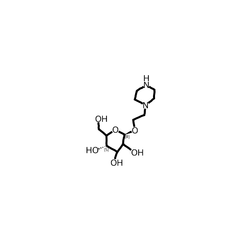 OCC1O[C@@H](OCCN2CCNCC2)C(O)C(O)[C@@H]1O